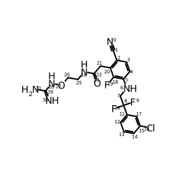 N#Cc1ccc(NCC(F)(F)c2cccc(Cl)c2)c(F)c1CC(=O)NCCONC(=N)N